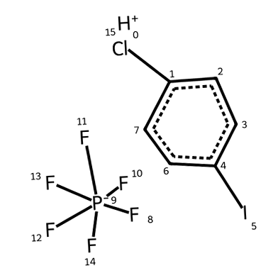 Clc1ccc(I)cc1.F[P-](F)(F)(F)(F)F.[H+]